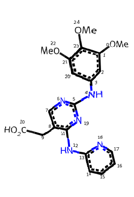 COc1cc(Nc2ncc(CC(=O)O)c(Nc3ccccn3)n2)cc(OC)c1OC